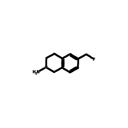 NN1CCc2cc(CF)ccc2C1